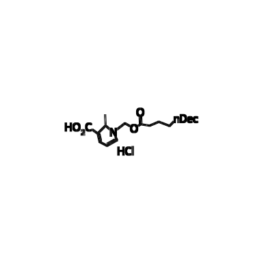 CCCCCCCCCCCCCC(=O)OCN1C=CC=C(C(=O)O)C1C.Cl